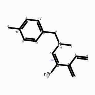 C=CC(=C)/C(=C\N(C)Cc1ccc(C)cc1)CCC